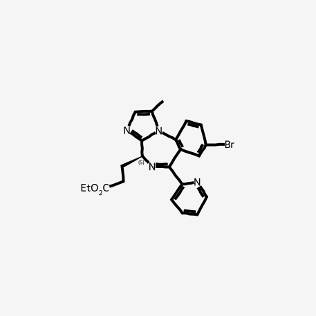 CCOC(=O)CC[C@@H]1N=C(c2ccccn2)c2cc(Br)ccc2-n2c(C)cnc21